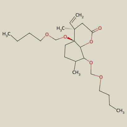 C=C[C@@]1(C)CC(=O)OC2C(OCOCCCC)C(C)CC[C@@]21OCOCCCC